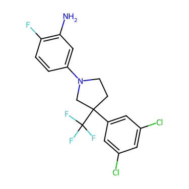 Nc1cc(N2CCC(c3cc(Cl)cc(Cl)c3)(C(F)(F)F)C2)ccc1F